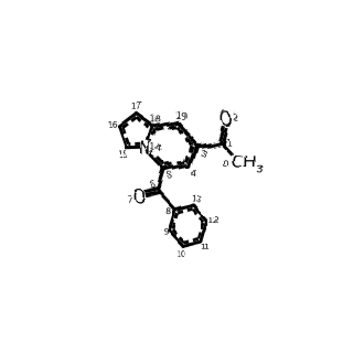 CC(=O)c1cc(C(=O)c2ccccc2)n2cccc2c1